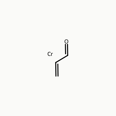 C=CC=O.[Cr]